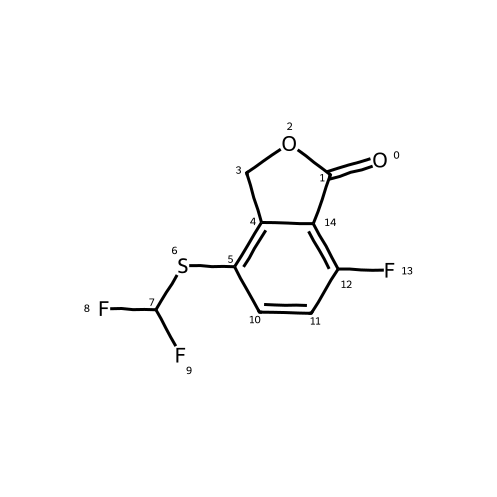 O=C1OCc2c(SC(F)F)ccc(F)c21